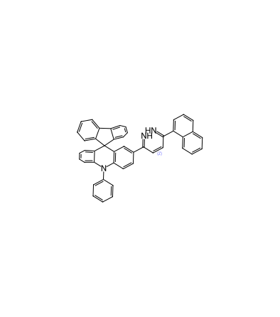 N=C(/C=C\C(=N)c1cccc2ccccc12)c1ccc2c(c1)C1(c3ccccc3-c3ccccc31)c1ccccc1N2c1ccccc1